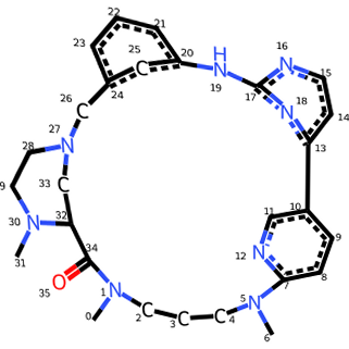 CN1CCCN(C)c2ccc(cn2)-c2ccnc(n2)Nc2cccc(c2)CN2CCN(C)C(C2)C1=O